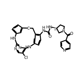 O=C(Nc1ccc2cc1CCc1cccc(c1)Nc1ncc(Cl)c(n1)N2)N[C@H]1CCN(C(=O)c2ccncc2)C1